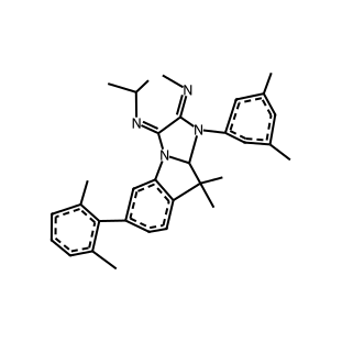 C/N=C1\C(=N/C(C)C)N2c3cc(-c4c(C)cccc4C)ccc3C(C)(C)C2N1c1cc(C)cc(C)c1